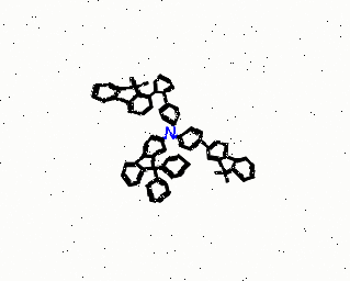 CC1(C)c2ccccc2-c2ccc(-c3ccc(N(c4ccc(-c5ccccc5-c5cccc6c5C(C)(C)c5ccccc5-6)cc4)c4ccc5c(c4)C(c4ccccc4)(c4ccccc4)c4ccccc4-5)cc3)cc21